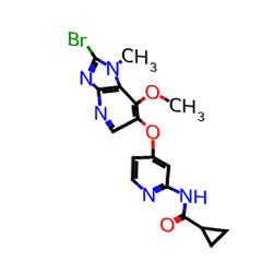 COc1c(Oc2ccnc(NC(=O)C3CC3)c2)cnc2nc(Br)n(C)c12